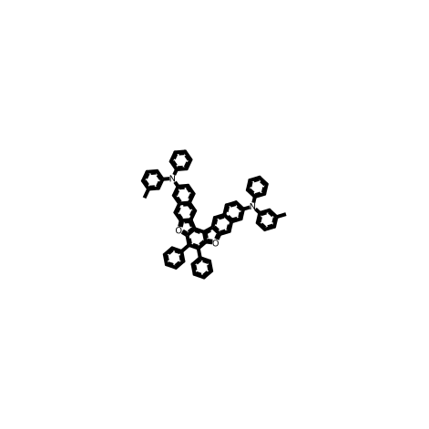 Cc1cccc(N(c2ccccc2)c2ccc3cc4c(cc3c2)oc2c(-c3ccccc3)c(-c3ccccc3)c3oc5cc6cc(N(c7ccccc7)c7cccc(C)c7)ccc6cc5c3c24)c1